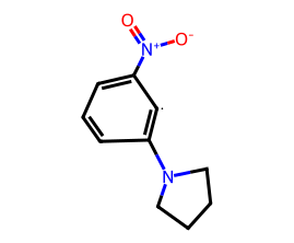 O=[N+]([O-])c1[c]c(N2CCCC2)ccc1